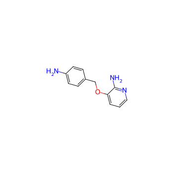 Nc1ccc(COc2cccnc2N)cc1